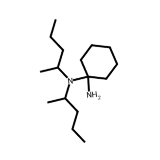 CCCC(C)N(C(C)CCC)C1(N)CCCCC1